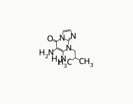 CC(C)Cn1c(N)c(N)c(=O)n2ccnc12